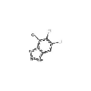 Clc1cc2[nH]nnc2c(Cl)c1Cl